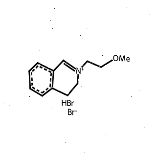 Br.COCC[N+]1=Cc2ccccc2CC1.[Br-]